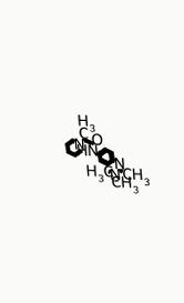 CC(=Nc1ccc(NC(=O)C(C)N2CCCCC2)cc1)N(C)C